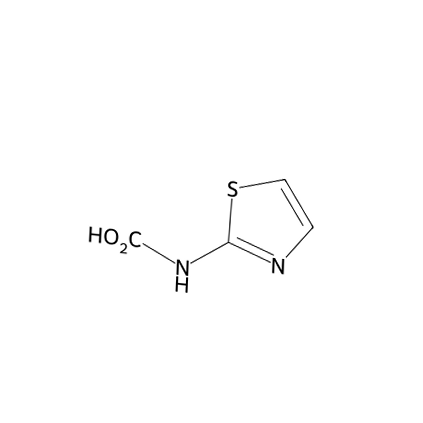 O=C(O)Nc1nccs1